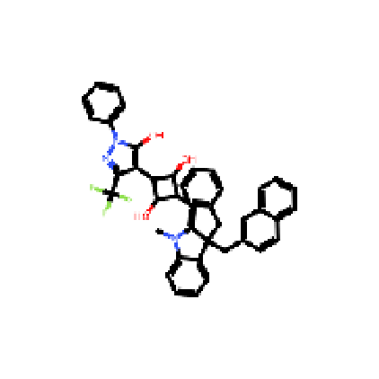 CN1C(=CC2C(O)C(c3c(C(F)(F)F)nn(-c4ccccc4)c3O)C2O)C(Cc2ccccc2)(Cc2ccc3ccccc3c2)c2ccccc21